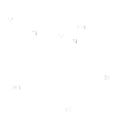 CN1Cc2c(Br)cc(Cl)cc2C(c2ccccc2N2C(=O)CCC2=O)C1.Cl